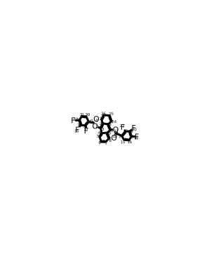 O=C(Oc1c2ccccc2c(OC(=O)c2ccc(F)c(F)c2F)c2ccccc12)c1ccc(F)c(F)c1F